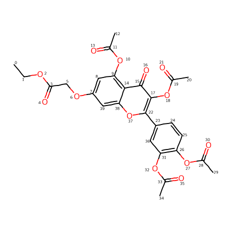 CCOC(=O)COc1cc(OC(C)=O)c2c(=O)c(OC(C)=O)c(-c3ccc(OC(C)=O)c(OC(C)=O)c3)oc2c1